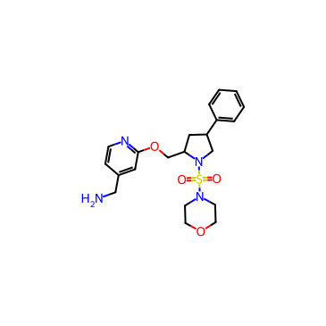 NCc1ccnc(OCC2CC(c3ccccc3)CN2S(=O)(=O)N2CCOCC2)c1